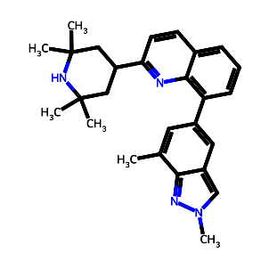 Cc1cc(-c2cccc3ccc(C4CC(C)(C)NC(C)(C)C4)nc23)cc2cn(C)nc12